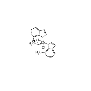 C[CH]=[Zr]([Cl])([Cl])([CH]1C=Cc2cccc(C)c21)[CH]1C=Cc2cccc(C)c21